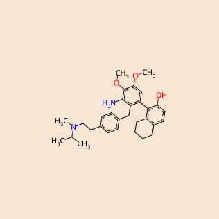 COc1cc(-c2c(O)ccc3c2CCCC3)c(Cc2ccc(CCN(C)C(C)C)cc2)c(N)c1OC